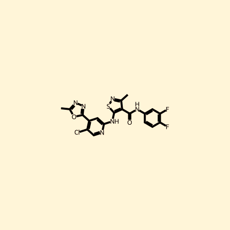 Cc1nnc(-c2cc(Nc3snc(C)c3C(=O)Nc3ccc(F)c(F)c3)ncc2Cl)o1